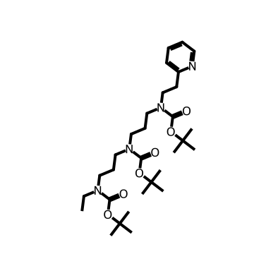 CCN(CCCN(CCCN(CCc1ccccn1)C(=O)OC(C)(C)C)C(=O)OC(C)(C)C)C(=O)OC(C)(C)C